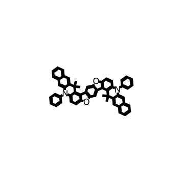 CC1(C)c2cc3ccccc3cc2N(c2ccccc2)c2ccc3oc4cc5c(cc4c3c21)oc1ccc2c(c15)C(C)(C)c1cc3ccccc3cc1N2c1ccccc1